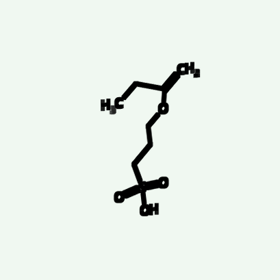 C=C(CC)OCCCS(=O)(=O)O